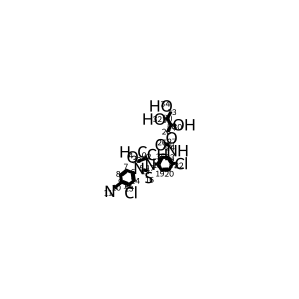 CC1(C)C(=O)N(c2ccc(C#N)c(Cl)c2)C(=S)N1c1ccc(Cl)c(NC(=O)OC[C@@H](O)[C@H](O)CO)c1